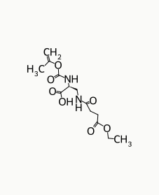 C=C(C)OC(=O)N[C@@H](CNC(=O)CCC(=O)OCC)C(=O)O